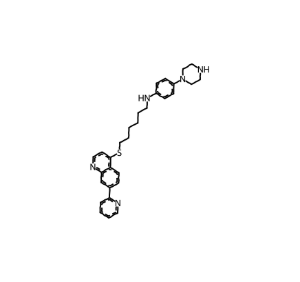 c1ccc(-c2ccc3c(SCCCCCCNc4ccc(N5CCNCC5)cc4)ccnc3c2)nc1